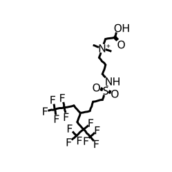 C[N+](C)(CCCNS(=O)(=O)CCCC(CC(F)(F)C(F)(F)F)CC(F)(C(F)(F)F)C(F)(F)F)CC(=O)O